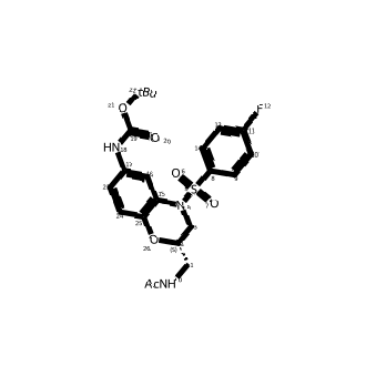 CC(=O)NC[C@H]1CN(S(=O)(=O)c2ccc(F)cc2)c2cc(NC(=O)OC(C)(C)C)ccc2O1